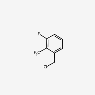 Fc1cccc(CCl)c1C(F)(F)F